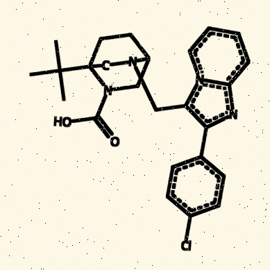 CC(C)(C)C12CCC(CN1C(=O)O)N(Cc1c(-c3ccc(Cl)cc3)nc3ccccn13)C2